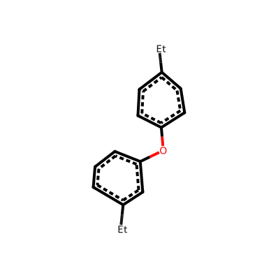 CCc1ccc(Oc2cccc(CC)c2)cc1